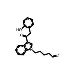 O=CCCCCn1cc(C(=O)Cc2ccccc2O)c2ccccc21